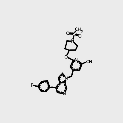 CS(=O)(=O)N1CCC(Oc2cc(Cn3ccc4c(-c5ccc(F)cc5)cncc43)cc(C#N)n2)CC1